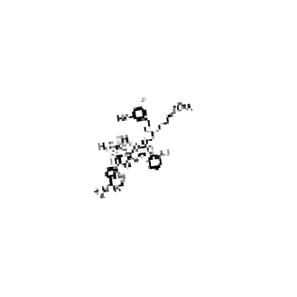 CCCCCCCCCCCCCCC[C@H](COP(=O)(Oc1ccccc1Cl)OC1[C@H]2O[C@@H](c3ccc4c(N)ncnn34)[C@@H]3OC(C)(C)O[C@]123)OCc1cc(F)cc(C#N)c1